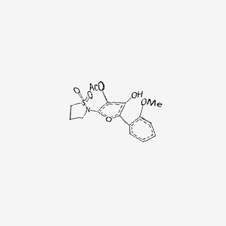 COc1ccccc1-c1oc(N2CCCS2(=O)=O)c(OC(C)=O)c1O